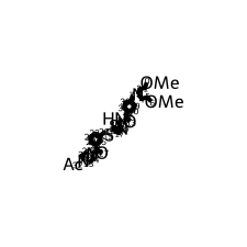 COCCN(CCOC)Cc1ccc(C(=O)Nc2ncc(SCc3cccc(C(=O)N4CCN(C(C)=O)CC4)c3)s2)cc1